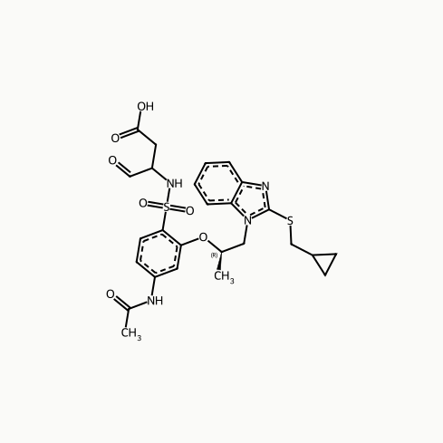 CC(=O)Nc1ccc(S(=O)(=O)NC(C=O)CC(=O)O)c(O[C@H](C)Cn2c(SCC3CC3)nc3ccccc32)c1